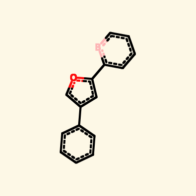 b1ccccc1-c1cc(-c2ccccc2)co1